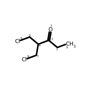 CCC(=O)C(CCl)CCl